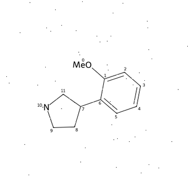 COc1ccccc1C1CC[N]C1